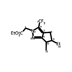 CCOC(=O)Cn1nc2c(c1C(F)(F)F)CC(CC)C2C